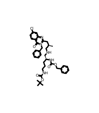 C[C@@H](CNC[C@H](CCCNC(=O)OC(C)(C)C)NC(=O)OCc1ccccc1)Cc1nc2cc(Cl)ccc2c(=O)n1Cc1ccccc1